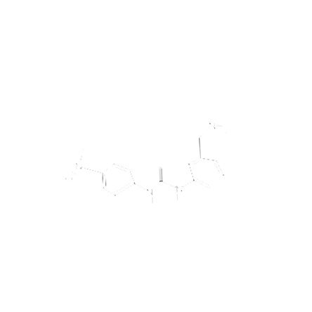 NCc1cccc(NC(=O)Nc2ccc([N+](=O)[O-])cc2)c1